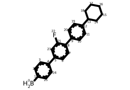 Bc1ccc(-c2ccc(-c3ccc(C4CCCCC4)cc3)c(F)c2)cc1